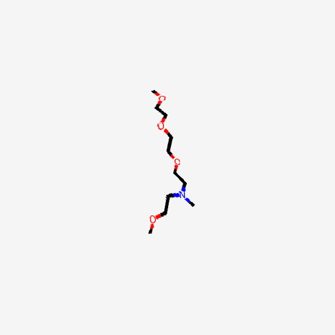 COCCOCCOCCN(C)CCOC